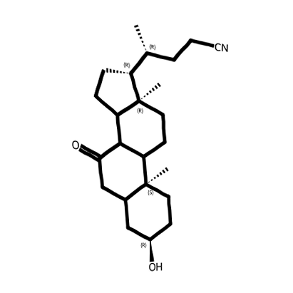 C[C@H](CCC#N)[C@H]1CCC2C3C(=O)CC4C[C@H](O)CC[C@]4(C)C3CC[C@@]21C